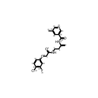 C=C(CCNC(=O)COc1ccc(Cl)c(F)c1)NC(=O)c1cncc(C)c1